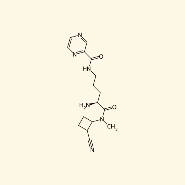 CN(C(=O)[C@@H](N)CCCNC(=O)c1cnccn1)C1CCC1C#N